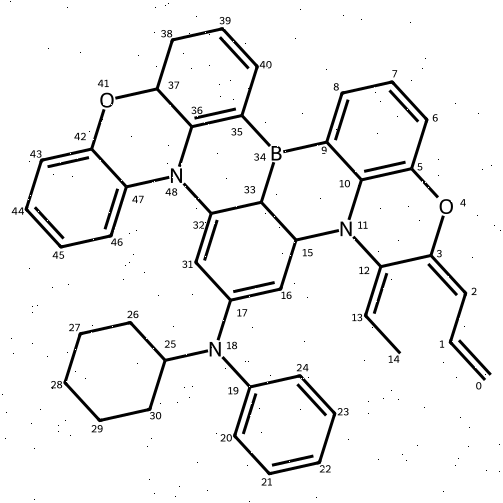 C=C/C=C1/Oc2cccc3c2N(/C1=C/C)C1C=C(N(c2ccccc2)C2CCCCC2)C=C2C1B3C1=C3C(CC=C1)Oc1ccccc1N23